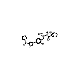 N#C[C@H](Cc1ccc(-c2csc(C(=O)N3CCCC3)c2)cc1F)NC(=O)C1NC2CCC1C2